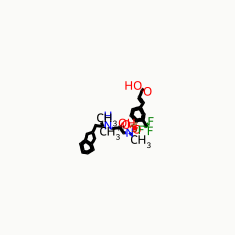 CN(C[C@H](O)CNC(C)(C)CC1Cc2ccccc2C1)S(=O)(=O)c1ccc(C=CC(=O)O)cc1C(F)(F)F